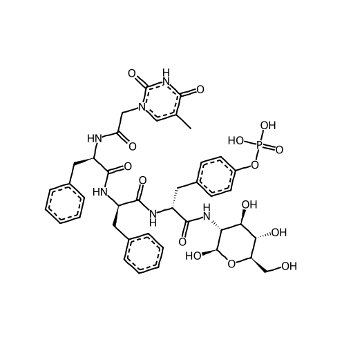 Cc1cn(CC(=O)N[C@H](Cc2ccccc2)C(=O)N[C@H](Cc2ccccc2)C(=O)N[C@H](Cc2ccc(OP(=O)(O)O)cc2)C(=O)N[C@@H]2[C@@H](O)[C@H](O)[C@@H](CO)O[C@H]2O)c(=O)[nH]c1=O